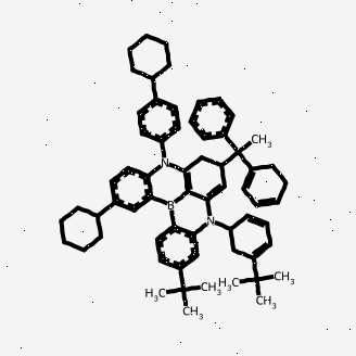 CC(C)(C)C1=CC=CC(N2C3=CC(C(C)(C4=CC=CCC4)c4ccccc4)CC4=C3B(c3cc(C5CCCCC5)ccc3N4c3ccc(C4CCCCC4)cc3)c3ccc(C(C)(C)C)cc32)C1